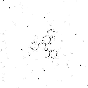 Cc1ccccc1OP(Sc1ccccc1C)Sc1ccccc1C